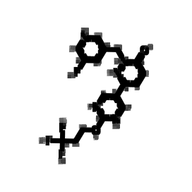 O=c1ccc(-c2cnc(OCCC(F)(F)F)nc2)nn1Cc1cncc(F)c1